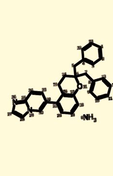 N.c1ccc(CC2(Cc3ccccc3)CCc3c(cccc3-c3ccc4nccn4c3)O2)cc1